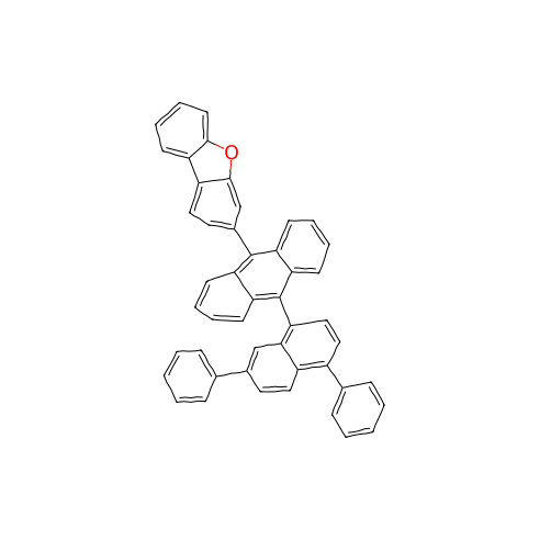 c1ccc(-c2ccc3c(-c4ccccc4)ccc(-c4c5ccccc5c(-c5ccc6c(c5)oc5ccccc56)c5ccccc45)c3c2)cc1